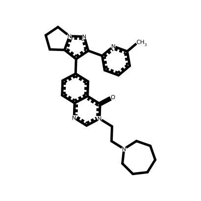 Cc1cccc(-c2nn3c(c2-c2ccc4ncn(CCN5CCCCCC5)c(=O)c4c2)CCC3)n1